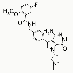 COc1ccc(F)cc1C(=O)NCc1ccc(-c2cn([C@@H]3CCNC3)c3c(=O)[nH]nc(N)c23)cc1